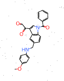 COc1ccc(NCc2ccc3c(c2)c(C(=O)C=O)cn3C(=O)c2ccccc2)cc1